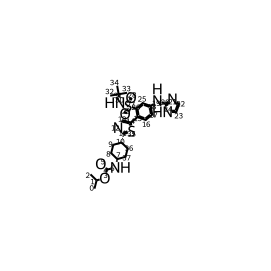 CC(C)OC(=O)N[C@H]1CC[C@H](c2ncc(-c3ccc(Nc4ncc[nH]4)cc3S(=O)(=O)NC(C)(C)C)s2)CC1